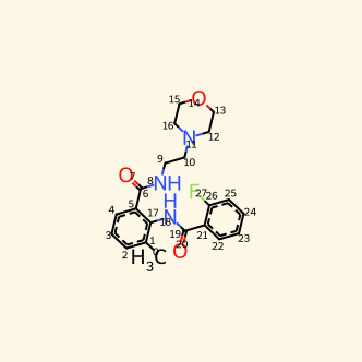 Cc1cccc(C(=O)NCCN2CCOCC2)c1NC(=O)c1ccccc1F